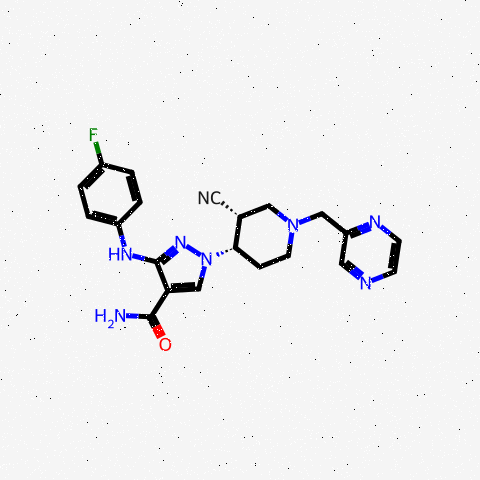 N#C[C@@H]1CN(Cc2cnccn2)CC[C@@H]1n1cc(C(N)=O)c(Nc2ccc(F)cc2)n1